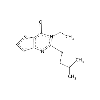 CCn1c(SCC(C)C)nc2ccsc2c1=O